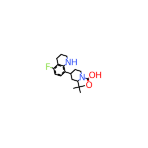 CC(C)(C)C1CC(c2ccc(F)c3c2NCCC3)CCN1C(=O)O